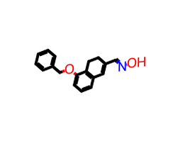 ON=CC1=Cc2cccc(OCc3ccccc3)c2CC1